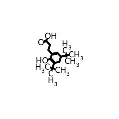 CC(C)(C)C1=C(O)C(CCC(=O)O)=CC(C(C)(C)C)C1